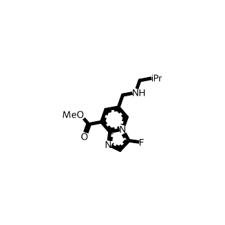 COC(=O)c1cc(CNCC(C)C)cn2c(F)cnc12